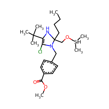 CCCCC1(CO[SiH](C)C)NC(C(C)(C)C)=C(Cl)N1Cc1ccc(C(=O)OC)cc1